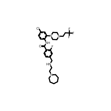 O=C(Nc1ccc(Cl)cc1N1CCN(CCC(F)(F)F)CC1)c1ccc(CNCCN2CCCCCC2)cc1F